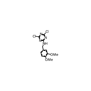 COc1ccc(CNc2nc(Cl)nc(Cl)n2)cc1OC